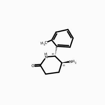 Cc1ccccc1[C@H]1NC(=O)CC[C@@H]1N